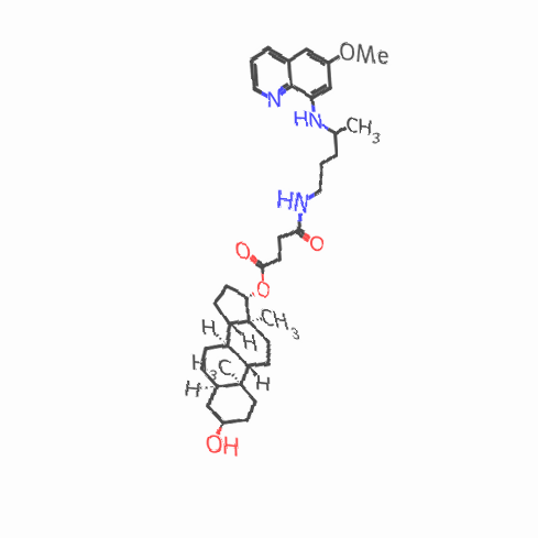 COc1cc(NC(C)CCCNC(=O)CCC(=O)O[C@H]2CC[C@H]3[C@@H]4CC[C@@H]5C[C@H](O)CC[C@]5(C)[C@H]4CC[C@]23C)c2ncccc2c1